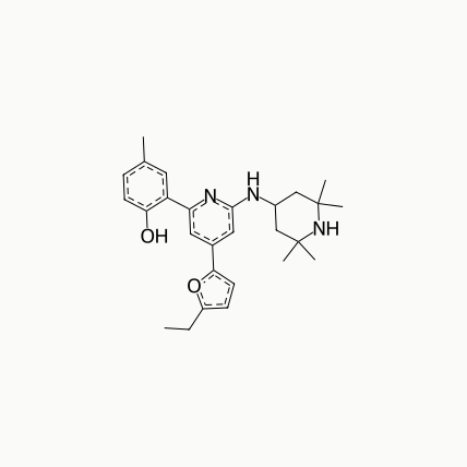 CCc1ccc(-c2cc(NC3CC(C)(C)NC(C)(C)C3)nc(-c3cc(C)ccc3O)c2)o1